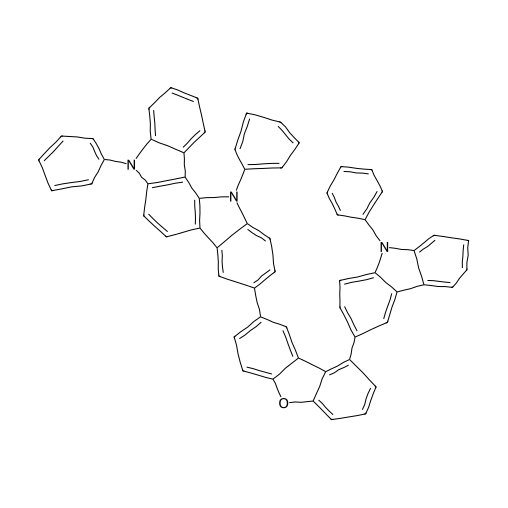 c1ccc(-n2c3ccccc3c3cc(-c4cccc5oc6ccc(-c7ccc8c(c7)c7ccc9c(c%10ccccc%10n9-c9ccccc9)c7n8-c7ccccc7)cc6c45)ccc32)cc1